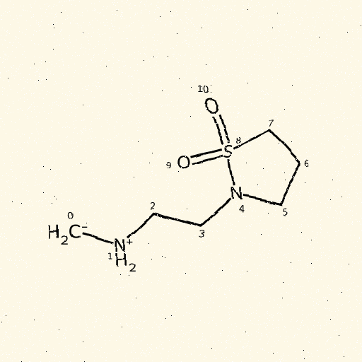 [CH2-][NH2+]CCN1CCCS1(=O)=O